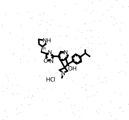 CC(C)c1ccc(C(O)(c2cncc(-c3noc(C[C@H]4CCNC4)n3)c2)C2(C)CN(C)C2)cc1.Cl